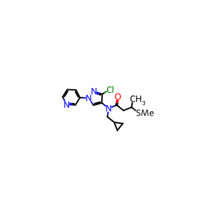 CSC(C)CC(=O)N(CC1CC1)c1cn(-c2cccnc2)nc1Cl